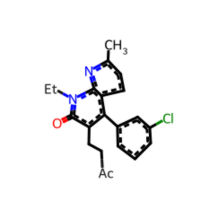 CCn1c(=O)c(CCC(C)=O)c(-c2cccc(Cl)c2)c2ccc(C)nc21